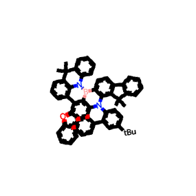 CC(C)(C)c1ccc(N2c3cc4c(oc5ccccc54)c4c3B(c3ccc5c(c32)C(C)(C)c2ccccc2-5)N2c3ccccc3C(C)(C)c3cccc-4c32)c(-c2ccccc2)c1